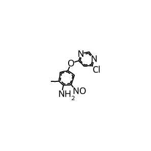 Cc1cc(Oc2cc(Cl)ncn2)cc(N=O)c1N